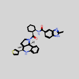 Cc1nc2cc(C(=O)N[C@@H]3CCCC[C@@H]3C(=O)N3CC[C@H]4[C@H](c5ccsc5)Nc5ccccc5[C@@H]43)ccc2[nH]1